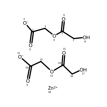 O=C([O-])COC(=O)CO.O=C([O-])COC(=O)CO.[Zn+2]